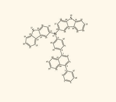 c1ccc(-c2ccc(-c3ccc(N(c4ccc5sc6ccccc6c5c4)c4ccc5sc6ccccc6c5c4)cc3)c3ccccc23)cc1